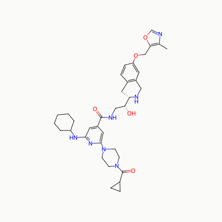 Cc1ncoc1COc1ccc2c(c1)CN[C@H]([C@H](O)CNC(=O)c1cc(NC3CCCCC3)nc(N3CCN(C(=O)C4CC4)CC3)c1)C2